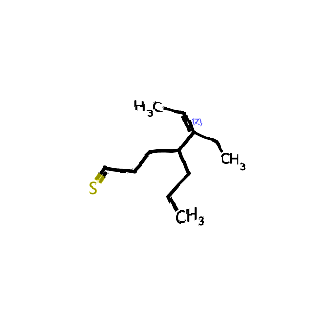 C/C=C(/CC)C(CCC)CCC=S